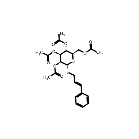 CC(=O)OC[C@H]1O[C@H](SC/C=C/c2ccccc2)[C@@H](OC(C)=O)[C@@H](OC(C)=O)[C@@H]1OC(C)=O